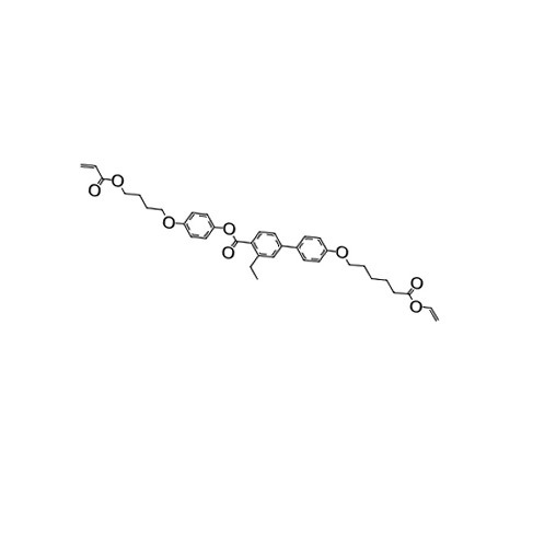 C=COC(=O)CCCCCOc1ccc(-c2ccc(C(=O)Oc3ccc(OCCCCOC(=O)C=C)cc3)c(CC)c2)cc1